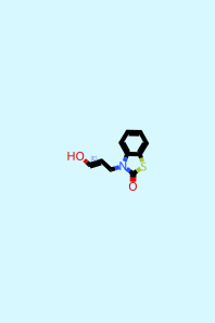 O=c1sc2ccccc2n1C/C=C/O